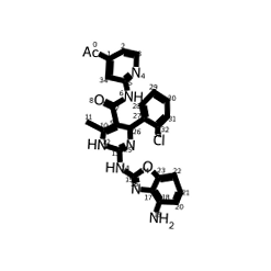 CC(=O)c1ccnc(NC(=O)C2=C(C)NC(Nc3nc4c(N)cccc4o3)=NC2c2ccccc2Cl)c1